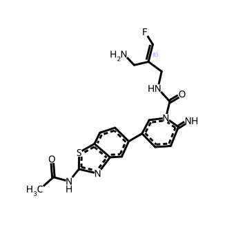 CC(=O)Nc1nc2cc(-c3ccc(=N)n(C(=O)NC/C(=C/F)CN)c3)ccc2s1